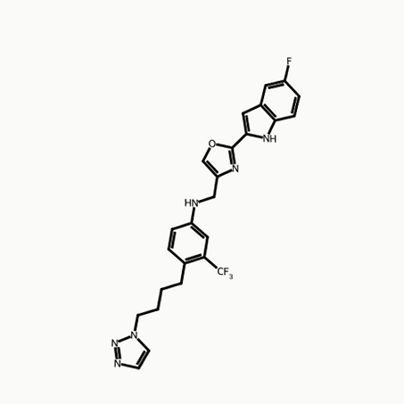 Fc1ccc2[nH]c(-c3nc(CNc4ccc(CCCCn5ccnn5)c(C(F)(F)F)c4)co3)cc2c1